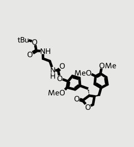 COc1ccc(C[C@H]2COC(=O)[C@@H]2Cc2ccc(OC(=O)NCCNC(=O)OC(C)(C)C)c(OC)c2)cc1OC